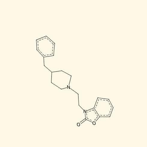 O=c1oc2ccccc2n1CCN1CCC(Cc2ccccc2)CC1